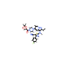 CCc1nn2cc(C)c(N3CCN(C(=O)C4COC(C)(C)O4)CC3)cc2c1N(C)c1nc(-c2ccc(F)cc2)c(C#N)s1